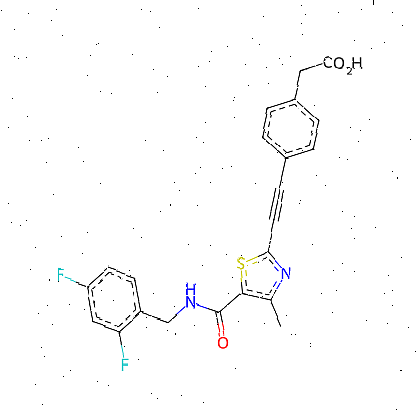 Cc1nc(C#Cc2ccc(CC(=O)O)cc2)sc1C(=O)NCc1ccc(F)cc1F